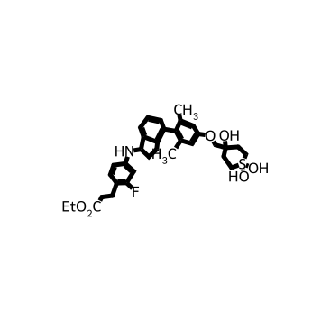 CCOC(=O)CCc1ccc(NC2CCc3c(-c4c(C)cc(OCC5(O)CCS(O)(O)CC5)cc4C)cccc32)cc1F